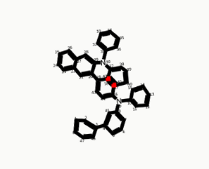 c1ccc(-c2cccc(N(c3ccccc3)c3ccc(-c4cc5ccccc5cc4N(c4ccccc4)c4ccccc4)cc3)c2)cc1